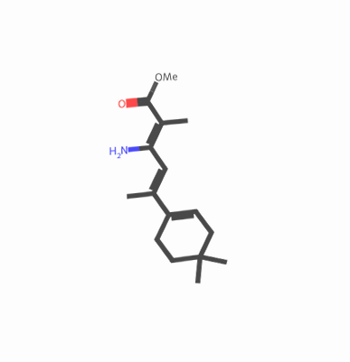 COC(=O)/C(C)=C(N)/C=C(\C)C1=CCC(C)(C)CC1